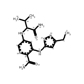 CCc1cc(Nc2cc(NC(C(N)=O)C(C)C)cnc2C(N)=O)sn1